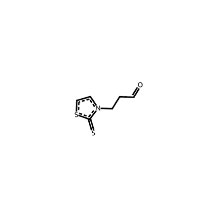 O=CCCn1ccsc1=S